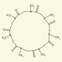 CN1CC(=O)N(C)CC(=O)N(C)CC(=O)N(C)CC(=O)N(C)CC(=O)N(C)CC(=O)N(C)CC1=O